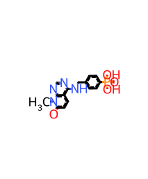 Cn1c(=O)ccc2c(NCc3ccc(P(=O)(O)O)cc3)ncnc21